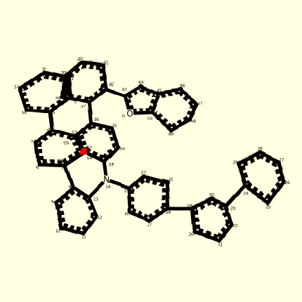 c1ccc(-c2ccc(-c3ccccc3N(c3ccc(-c4cccc(-c5ccccc5)c4)cc3)c3ccc(-c4ccccc4-c4cc5ccccc5o4)cc3)cc2)cc1